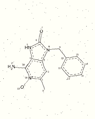 Cc1cc2c([nH]c(=O)n2Cc2ccccc2)c(N)[n+]1[O-]